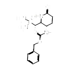 NP(N)(=O)CC1NC(=O)CC[C@@H]1NC(=O)OCc1ccccc1